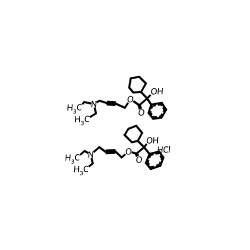 CCN(CC)CC#CCOC(=O)C(O)(c1ccccc1)C1CCCCC1.CCN(CC)CC#CCOC(=O)C(O)(c1ccccc1)C1CCCCC1.Cl